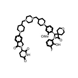 COc1cc(N2CCC(CN3CCN(CC4CCN(c5ccc6c(c5)CN(C5CCC(=O)NC5=O)C6=O)CC4)CC3)CC2)ccc1[C@@H]1N(c2cccc(F)c2O)C(=O)C12CCOCC2